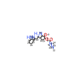 COc1c(OCC(=O)N2CCN(C)CC2)ccc(C=Cc2n[nH]c3ccccc23)c1N